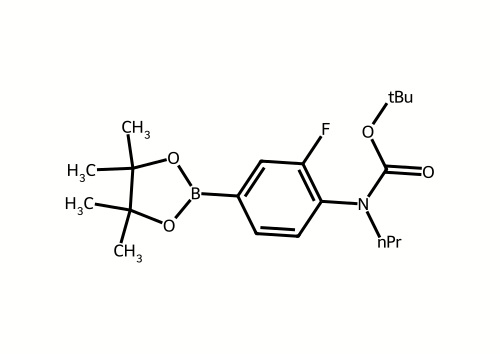 CCCN(C(=O)OC(C)(C)C)c1ccc(B2OC(C)(C)C(C)(C)O2)cc1F